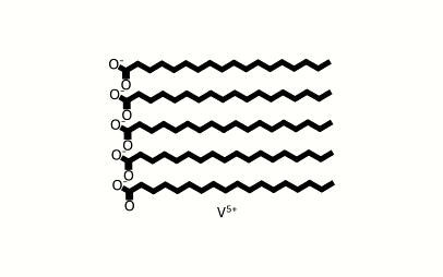 CCCCCCCCCCCCCCCCCC(=O)[O-].CCCCCCCCCCCCCCCCCC(=O)[O-].CCCCCCCCCCCCCCCCCC(=O)[O-].CCCCCCCCCCCCCCCCCC(=O)[O-].CCCCCCCCCCCCCCCCCC(=O)[O-].[V+5]